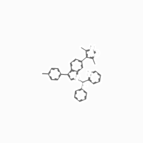 Cc1ccc(-c2cn([C@H](c3ccccc3)c3ccccn3)c3cc(-c4c(C)noc4C)ccc23)cc1